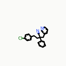 N#CC(CCc1ccc(Cl)cc1)(Cc1cccnc1)c1ccccc1